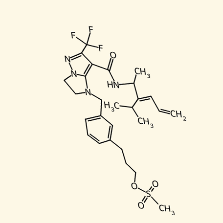 C=C/C=C(\C(C)C)C(C)NC(=O)c1c(C(F)(F)F)nn2c1N(Cc1cccc(CCCOS(C)(=O)=O)c1)CC2